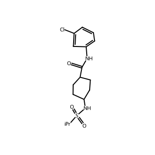 CC(C)S(=O)(=O)NC1CCC(C(=O)Nc2cccc(Cl)c2)CC1